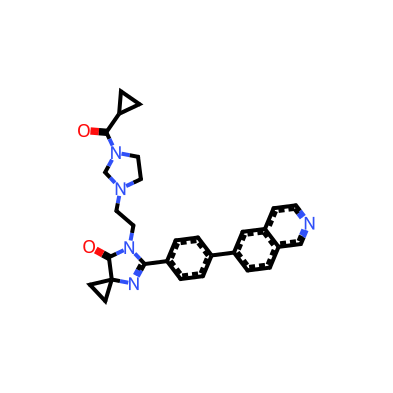 O=C(C1CC1)N1CCN(CCN2C(=O)C3(CC3)N=C2c2ccc(-c3ccc4cnccc4c3)cc2)C1